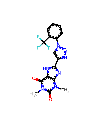 Cn1c(=O)c2[nH]c(-c3cn(-c4ccccc4C(F)(F)F)nn3)nc2n(C)c1=O